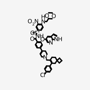 O=C(N[S+]([O-])c1ccc(NCC2COCCO2)c([N+](=O)[O-])c1)c1ccc(C2=CCN(CC3=C(c4ccc(Cl)cc4)CC4(CCC4)CC3)CC2)cc1Oc1cnc2[nH]ccc2c1